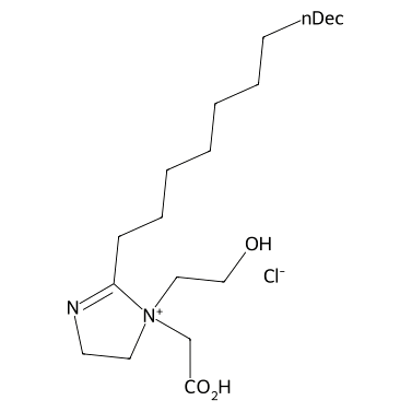 CCCCCCCCCCCCCCCCCC1=NCC[N+]1(CCO)CC(=O)O.[Cl-]